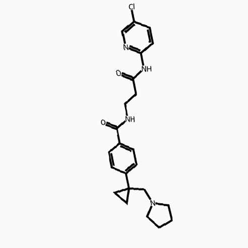 O=C(CCNC(=O)c1ccc(C2(CN3CCCC3)CC2)cc1)Nc1ccc(Cl)cn1